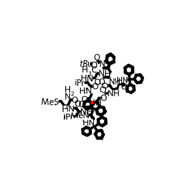 CN/C(=C\NC(c1ccccc1)(c1ccccc1)c1ccccc1)C[C@H](NC(=O)CNC(=O)C(NC(=O)C(C)NC(=O)[C@H](Cc1cn(C(=O)OC(C)(C)C)c2ccccc12)NC(=O)C(CCC(=O)NC(c1ccccc1)(c1ccccc1)c1ccccc1)NC(=O)OCC1c2ccccc2-c2ccccc21)C(C)C)C(=O)NC(CC(C)C)C(=O)N[C@@H](CCSC)C(N)=O